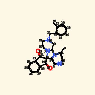 Cc1cncc(C2(N3CCN(Cc4ccccc4C)CC3)C(=O)c3ccccc3C2=O)n1